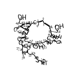 C/C1=C\C=C\[C@@H](CO)[C@@]2(O)C[C@H](OC(=O)N2)[C@@H](C)[C@@H]2O[C@@]2(C)[C@@H](OC(=O)[C@@H](C)N(C)C(=O)CCSC(C)C)CC(=O)N(C)c2cc(cc(CO)c2Cl)C1